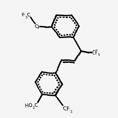 O=C(O)c1ccc(C=CC(c2cccc(OC(F)(F)F)c2)C(F)(F)F)cc1C(F)(F)F